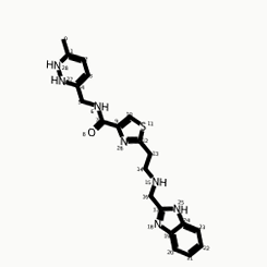 CC1=CC=C(CNC(=O)c2csc(CCNCc3nc4ccccc4[nH]3)n2)NN1